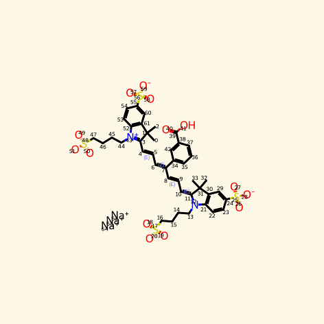 CC1(C)C(/C=C/C=C(/C=C/C=C2/N(CCCCS(=O)(=O)[O-])c3ccc(S(=O)(=O)[O-])cc3C2(C)C)c2cccc(C(=O)O)c2)=[N+](CCCCS(=O)(=O)[O-])c2ccc(S(=O)(=O)[O-])cc21.[Na+].[Na+].[Na+]